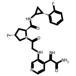 N=C(C(N)=O)c1ccncc1NCC(=O)N1C[C@H](F)C[C@H]1C(=O)NC1C[C@@H]1c1ccccc1F